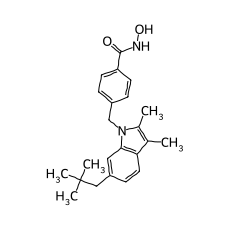 Cc1c(C)n(Cc2ccc(C(=O)NO)cc2)c2cc(CC(C)(C)C)ccc12